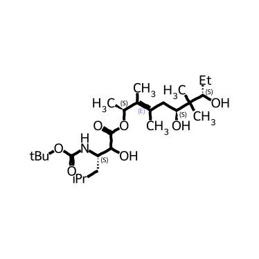 CC[C@H](O)C(C)(C)[C@@H](O)C/C(C)=C(\C)[C@H](C)OC(=O)C(O)[C@H](CC(C)C)NC(=O)OC(C)(C)C